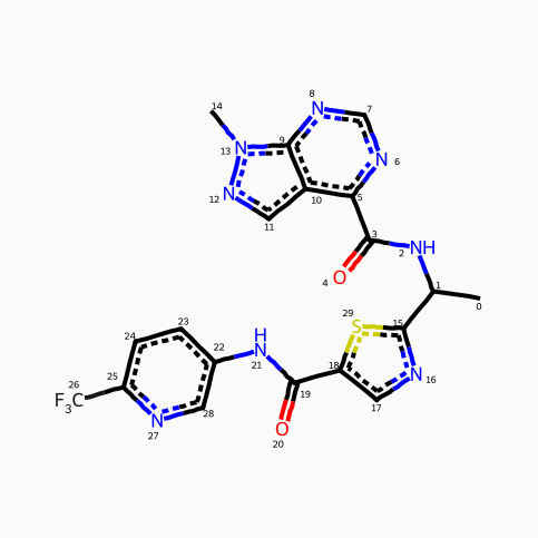 CC(NC(=O)c1ncnc2c1cnn2C)c1ncc(C(=O)Nc2ccc(C(F)(F)F)nc2)s1